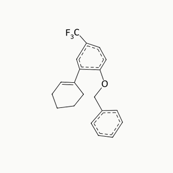 FC(F)(F)c1ccc(OCc2ccccc2)c(C2=CCCCC2)c1